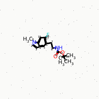 Cn1ccc2cc(CCNC(=O)OC(C)(C)C)c(F)cc21